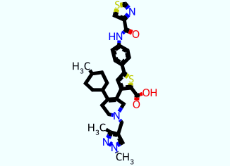 Cc1nn(C)cc1CN1CCC(C2CCC(C)CC2)=C(c2cc(-c3ccc(NC(=O)c4cscn4)cc3)sc2C(=O)O)C1